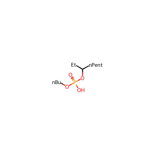 CCCCCC(CC)OP(=O)(O)OCCCC